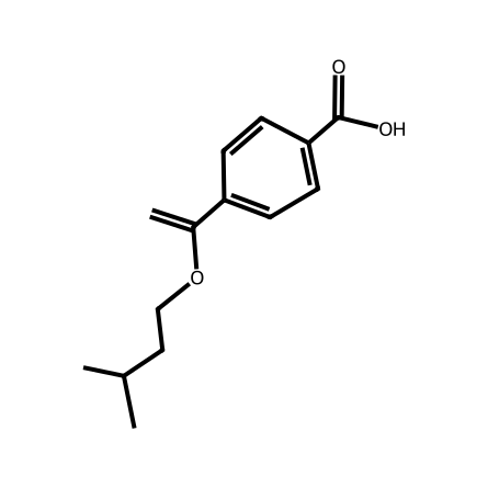 C=C(OCCC(C)C)c1ccc(C(=O)O)cc1